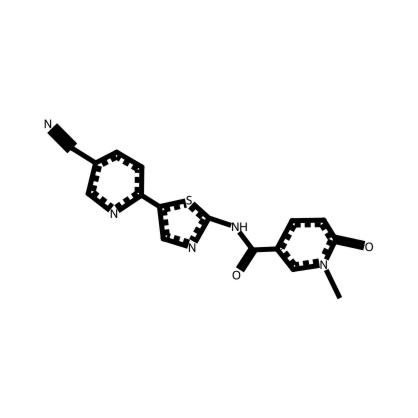 Cn1cc(C(=O)Nc2ncc(-c3ccc(C#N)cn3)s2)ccc1=O